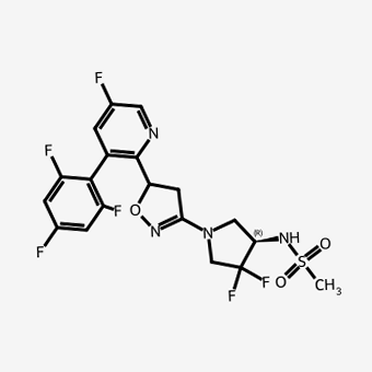 CS(=O)(=O)N[C@@H]1CN(C2=NOC(c3ncc(F)cc3-c3c(F)cc(F)cc3F)C2)CC1(F)F